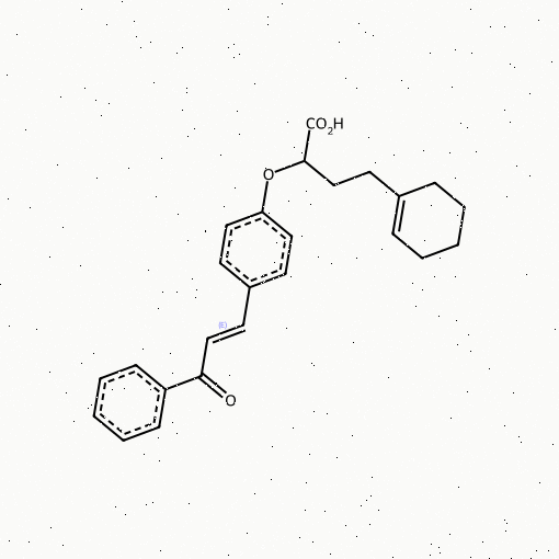 O=C(/C=C/c1ccc(OC(CCC2=CCCCC2)C(=O)O)cc1)c1ccccc1